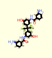 Nc1cccc(C(=O)Nc2cc(O)cc(C(c3cc(O)cc(NC(=O)c4cccc(N)c4)c3)(C(F)(F)F)C(F)(F)F)c2)c1